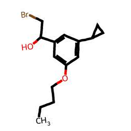 CCCCOc1cc(C(O)CBr)cc(C2CC2)c1